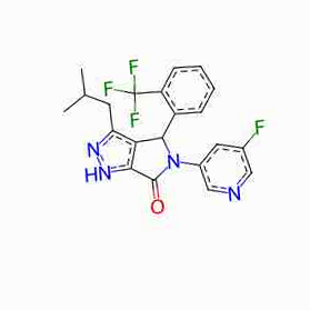 CC(C)Cc1n[nH]c2c1C(c1ccccc1C(F)(F)F)N(c1cncc(F)c1)C2=O